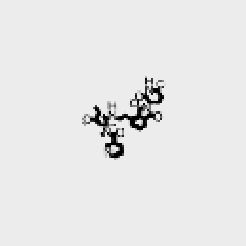 CC/C(=C\[C@@](C)(C(C)NCCc1cccc2c1C(=O)N([C@@H]1CCC(=O)NC1=O)C2=O)N(C)C(=O)c1cccnc1)OC